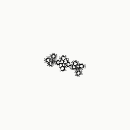 c1ccc(-c2c3c4c(cccc4c4cc(N(c5ccccc5)c5cccc6ccccc56)ccc24)Sc2cc(-c4ccc(N(c5ccccc5)c5ccccc5)c5ccccc45)ccc2-3)cc1